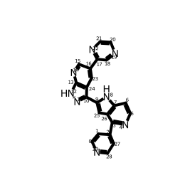 c1cc(-c2nccc3[nH]c(-c4n[nH]c5ncc(-c6cnccn6)cc45)cc23)ccn1